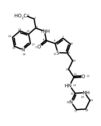 O=C(O)CC(NC(=O)c1ccc(CCC(=O)NC2=NCCCN2)s1)c1cccnc1